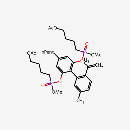 C=C(C)c1ccc(C)cc1-c1c(OP(=O)(CCCCOC(C)=O)OC)cc(CCCCC)cc1OP(=O)(CCCCOC(C)=O)OC